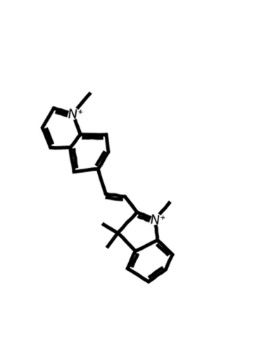 C[N+]1=C(/C=C/c2ccc3c(ccc[n+]3C)c2)C(C)(C)c2ccccc21